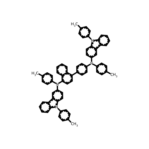 Cc1ccc(N(c2ccc(-c3ccc(N(c4ccc(C)cc4)c4ccc5c(c4)c4ccccc4n5-c4ccc(C)cc4)c4ccccc34)cc2)c2ccc3c(c2)c2ccccc2n3-c2ccc(C)cc2)cc1